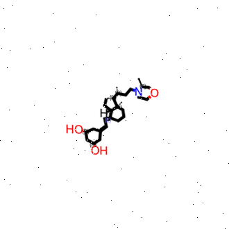 C[C@H](CCN1CCOC[C@@H]1C)[C@H]1CC[C@H]2/C(=C/C=C3C[C@@H](O)C[C@H](O)C3)CCC[C@]12C